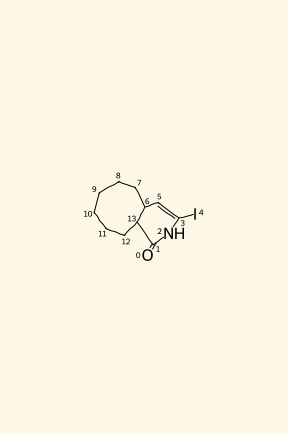 O=C1NC(I)=CC2CCCCCCC12